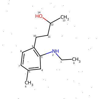 CCNc1cc(C)ccc1CCC(C)O